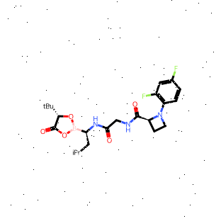 CC(C)C[C@H](NC(=O)CNC(=O)[C@@H]1CCN1c1ccc(F)cc1F)B1OC(=O)[C@H](C(C)(C)C)O1